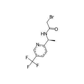 C[C@H](NC(=O)CBr)c1ccc(C(F)(F)F)cn1